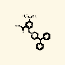 CNC(=O)c1cc(N(C)C)ccc1CN1CCC(C(c2ccccc2)c2ccccc2)CC1